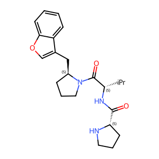 CC(C)[C@H](NC(=O)[C@@H]1CCCN1)C(=O)N1CCC[C@H]1Cc1coc2ccccc12